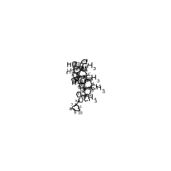 C[C@]1(C(=O)OCc2ccccc2)CC[C@]2(C)CC[C@]3(C)C(=CC(=O)[C@@H]4[C@@]5(C)CC[C@H](O)[C@@](C)(C=O)[C@@H]5CC[C@]43C)[C@@H]2C1